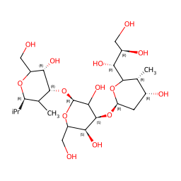 CC(C)[C@H]1OC(CO)[C@H](O)[C@H](O[C@@H]2OC(CO)[C@H](O)[C@H](O[C@@H]3C[C@@H](O)[C@@H](C)C([C@H](O)[C@H](O)CO)O3)C2O)C1C